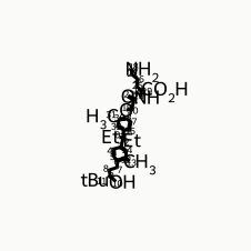 CCC(CC)(c1ccc(CCC(O)C(C)(C)C)c(C)c1)c1ccc(OCC(=O)N[C@@H](CCCN)C(=O)O)c(C)c1